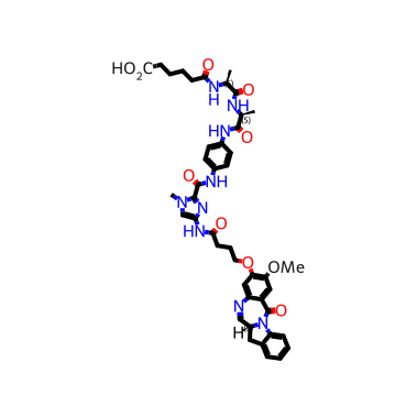 COc1cc2c(cc1OCCCC(=O)Nc1cn(C)c(C(=O)Nc3ccc(NC(=O)[C@H](C)NC(=O)[C@H](C)NC(=O)CCCCC(=O)O)cc3)n1)N=C[C@@H]1Cc3ccccc3N1C2=O